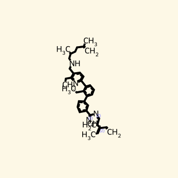 C=C/C(=C/C)C(=C)/C=N\C(=N/C)c1cccc(-c2cccc(-c3ccc(CNCC(C)CCC(=C)C)c(CC)n3)c2CC)c1